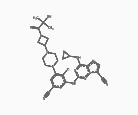 CC(C)(O)C(=O)N1CC(N2CCN(c3cc(C#N)cc(Nc4nc(NC5CC5)c5ncc(C#N)n5n4)c3Cl)CC2)C1